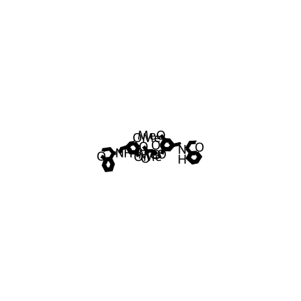 COc1cc(CNC2CCOc3ccccc32)cc(OC)c1OC(=O)C(=O)Oc1c(OC)cc(CNC2CCOc3ccccc32)cc1OC